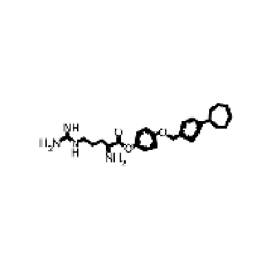 N=C(N)NCCCC(N)C(=O)Oc1ccc(OCc2ccc(C3CCCCCC3)cc2)cc1